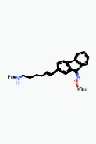 CCNCCCC/C=C/c1ccc2c(c1)/C(=N\OC(C)(C)C)c1ccccc1-2